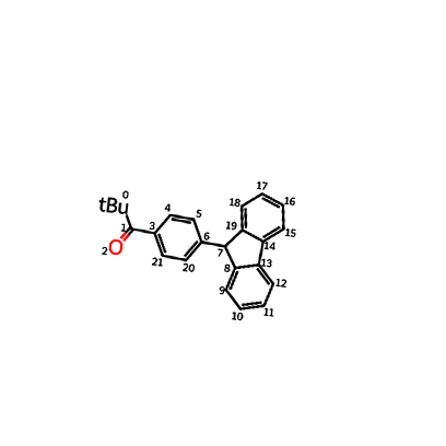 CC(C)(C)C(=O)c1ccc(C2c3ccccc3-c3ccccc32)cc1